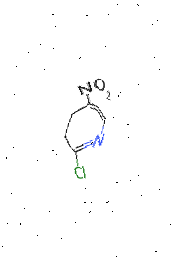 O=[N+]([O-])C1=CN=C(Cl)CC1